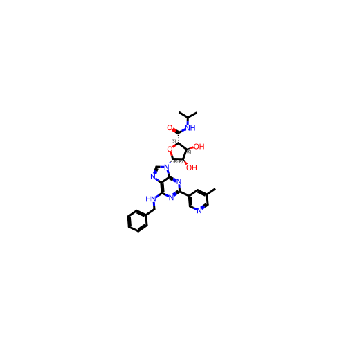 Cc1cncc(-c2nc(NCc3ccccc3)c3ncn([C@@H]4O[C@H](C(=O)NC(C)C)[C@@H](O)[C@H]4O)c3n2)c1